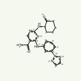 NC(=O)c1cnc(N[C@@H]2CCCCC2=O)nc1Nc1cccc(-n2nccn2)c1